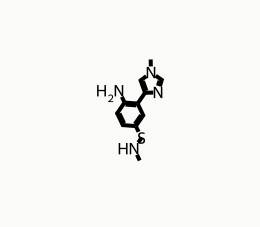 CNSc1ccc(N)c(-c2cn(C)cn2)c1